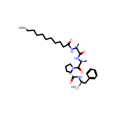 CCCCCCCCCCCCCCCCCCCC(=O)N[C@@H](C)C(=O)N[C@@H](C)C(=O)N1CCC[C@H]1C(=O)N[C@@H](Cc1ccccc1)C(=O)O